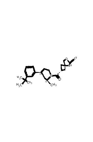 C[C@H]1C[C@@H](c2cccc(C(C)(C)C)c2)CCN1C(=O)[C@H]1C[C@]2(COC(=O)N2)C1